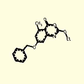 CCOc1nc2cc(OCc3ccccc3)cc(C)c2c(=O)o1